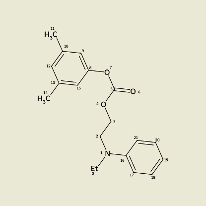 CCN(CCOC(=O)Oc1cc(C)cc(C)c1)c1ccccc1